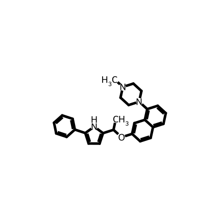 CC(Oc1ccc2cccc(N3CCN(C)CC3)c2c1)c1ccc(-c2ccccc2)[nH]1